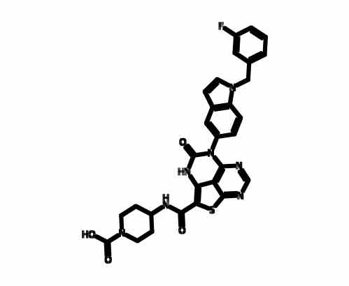 O=C(NC1CCN(C(=O)O)CC1)c1sc2ncnc3c2c1NC(=O)N3c1ccc2c(ccn2Cc2cccc(F)c2)c1